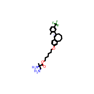 Cc1ccc(C(F)(F)F)cc1/C1=C/c2ccc(OCCCCCCOC(=O)C(C)(N)CN)cc2CCCC1